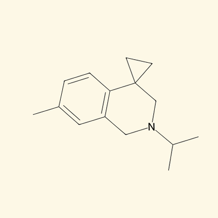 Cc1ccc2c(c1)CN(C(C)C)CC21CC1